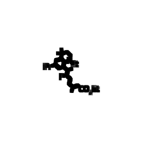 CCOC(=O)C=C(C)C=CC(F)=C(C)c1cc(C(C)C)cc2c1N(CC)CCC2(C)C